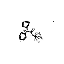 CC(C)(C)OC(=O)[SiH](c1ccccc1)c1ccccc1